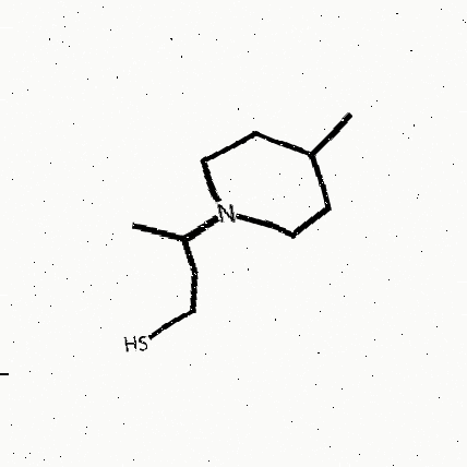 CC1CCN(C(C)CS)CC1